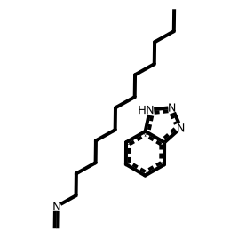 C=NCCCCCCCCCCCC.c1ccc2[nH]nnc2c1